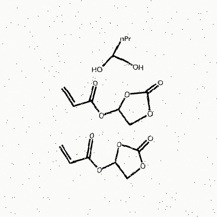 C=CC(=O)OC1COC(=O)O1.C=CC(=O)OC1COC(=O)O1.CCCC(O)O